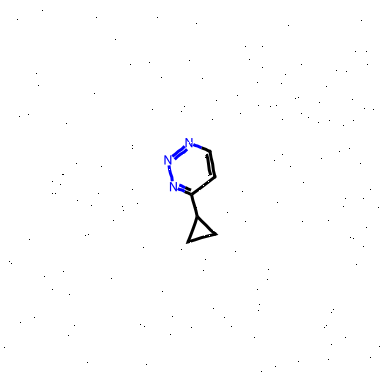 c1cc(C2CC2)nnn1